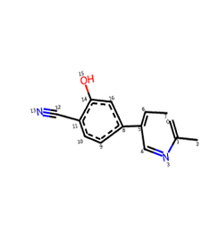 C=C(C)/N=C\C(=C/C)c1ccc(C#N)c(O)c1